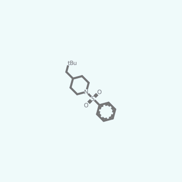 CC(C)(C)CC1CCN(S(=O)(=O)c2ccccc2)CC1